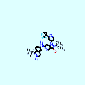 CC(C)n1c(=O)c2cnc(Nc3ccc4c(c3)CCNC4(C)C)cc2n1-c1ccnc(C2(C(F)(F)F)CC2)c1